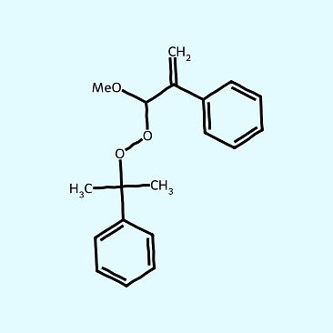 C=C(c1ccccc1)C(OC)OOC(C)(C)c1ccccc1